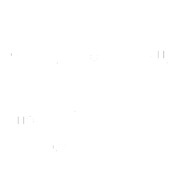 C=CCOc1cc(C=O)c(O)c(C=O)c1